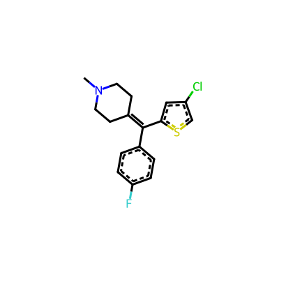 CN1CCC(=C(c2ccc(F)cc2)c2cc(Cl)cs2)CC1